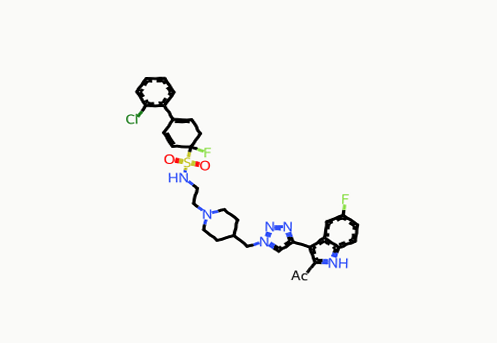 CC(=O)c1[nH]c2ccc(F)cc2c1-c1cn(CC2CCN(CCNS(=O)(=O)C3(F)C=CC(c4ccccc4Cl)=CC3)CC2)nn1